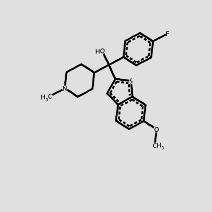 COc1ccc2cc(C(O)(c3ccc(F)cc3)C3CCN(C)CC3)sc2c1